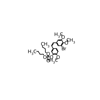 CCCCOP(=O)(OCCCC)Oc1cc(/C=C\c2cc(Br)c(OC)c(OC)c2)ccc1OC